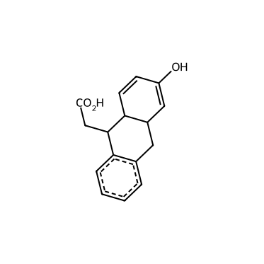 O=C(O)CC1c2ccccc2CC2C=C(O)C=CC21